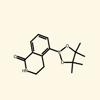 CC1(C)OB(c2cccc3c2CCNC3=O)OC1(C)C